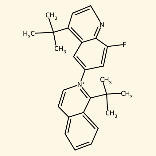 CC(C)(C)c1ccnc2c(F)cc(-[n+]3ccc4ccccc4c3C(C)(C)C)cc12